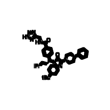 CC(C)CC[C@H](c1ccc(C(=O)NCc2nn[nH]n2)cc1)N1C(=O)C(N2CCN(c3ccccc3)CC2)=NC12CCC(C(C)(C)C)CC2